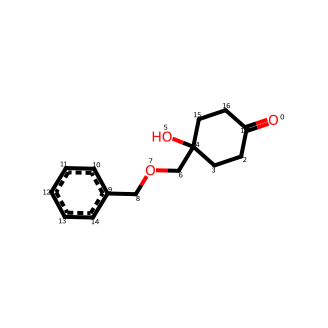 O=C1CCC(O)(COCc2ccccc2)CC1